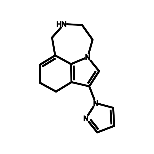 C1=C2CNCCn3cc(-n4cccn4)c(c32)CC1